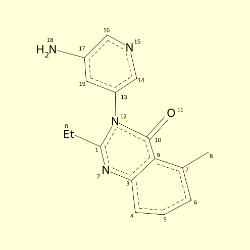 CCc1nc2cccc(C)c2c(=O)n1-c1cncc(N)c1